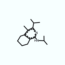 Cc1c(C(C)C)nc(NC(C)C)c2c1CCCC2